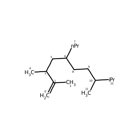 C=C(C)C(C)CC(CCC)CCC(C)C(C)C